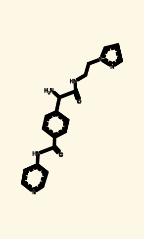 NC(C(=O)NCCn1cccn1)c1ccc(C(=O)Nc2ccncc2)cc1